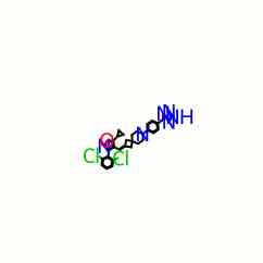 Clc1cccc(Cl)c1-c1noc(C2CC2)c1C=C1CC2(CCN(c3ccc(-c4nn[nH]n4)cc3)CC2)C1